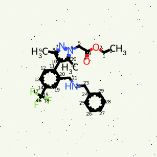 CCOC(=O)Cn1nc(C)c(-c2ccc(C(F)(F)F)cc2CNCc2ccccc2)c1C